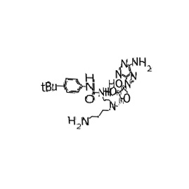 CC(C)(C)c1ccc(NC(=O)NCCN(CCCCN)C[C@H]2OC[C@](O)(n3cnc4c(N)ncnc43)[C@@H]2O)cc1